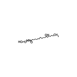 CCCCCCC(O)CCCCCCCCCCC(=O)NCCOCCO